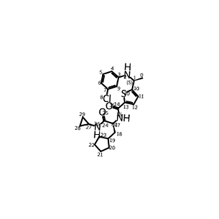 C[C@H](Nc1cccc(Cl)c1)c1ccc(C(=O)N[C@@H](CC2CCCC2)C(=O)NC2CC2)s1